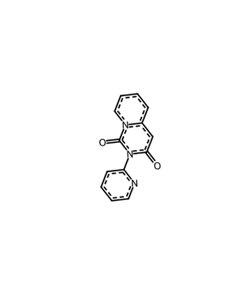 O=c1cc2ccccn2c(=O)n1-c1ccccn1